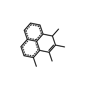 CC1=C(C)C(C)c2cccc3ccc(C)c1c23